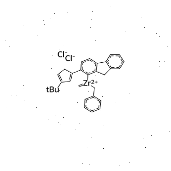 [CH2]=[Zr+2]([CH2]c1ccccc1)[c]1c(C2=CC(C(C)(C)C)=CC2)ccc2c1Cc1ccccc1-2.[Cl-].[Cl-]